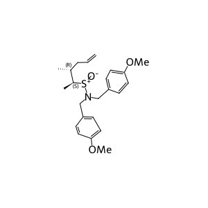 C=CC[C@@H](C)[C@H](C)[S+]([O-])N(Cc1ccc(OC)cc1)Cc1ccc(OC)cc1